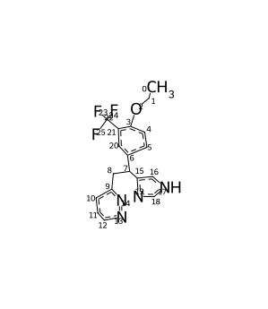 CCOc1ccc(C(Cc2cccnn2)c2c[nH]cn2)cc1C(F)(F)F